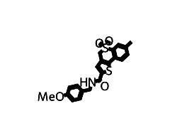 COc1ccc(CNC(=O)c2cc3c(s2)-c2ccc(C)cc2S(=O)(=O)C3)cc1